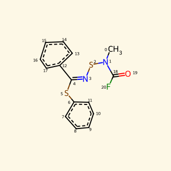 CN(SN=C(Sc1ccccc1)c1ccccc1)C(=O)F